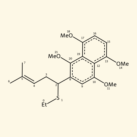 CCSC(CC=C(C)C)c1cc(OC)c2c(OC)ccc(OC)c2c1OC